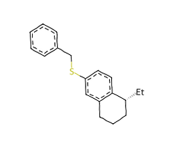 CC[C@@H]1CCCc2cc(SCc3ccccc3)ccc21